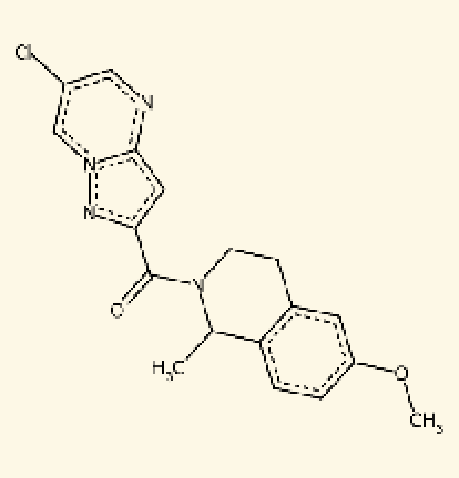 COc1ccc2c(c1)CCN(C(=O)c1cc3ncc(Cl)cn3n1)C2C